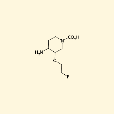 NC1CCN(C(=O)O)CC1OCCF